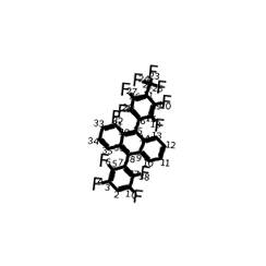 Fc1cc(F)c(F)c(-c2c3ccccc3c(-c3c(F)c(F)c(C(F)(F)F)c(F)c3F)c3c(F)cccc23)c1F